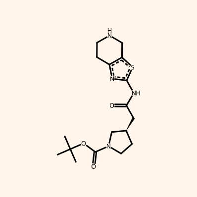 CC(C)(C)OC(=O)N1CC[C@H](CC(=O)Nc2nc3c(s2)CNCC3)C1